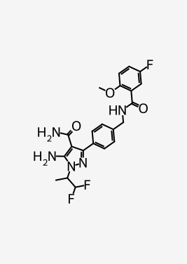 COc1ccc(F)cc1C(=O)NCc1ccc(-c2nn(C(C)C(F)F)c(N)c2C(N)=O)cc1